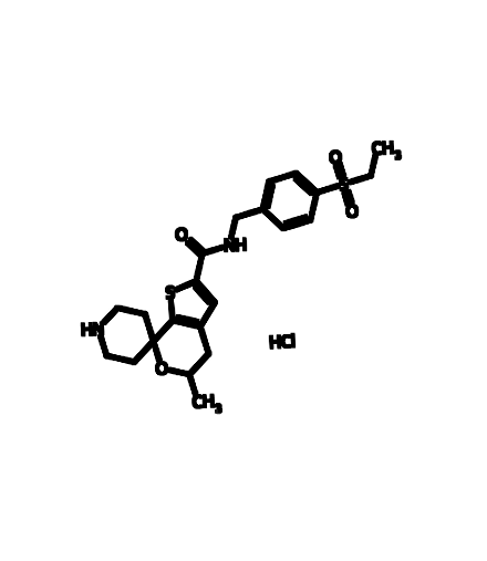 CCS(=O)(=O)c1ccc(CNC(=O)c2cc3c(s2)C2(CCNCC2)OC(C)C3)cc1.Cl